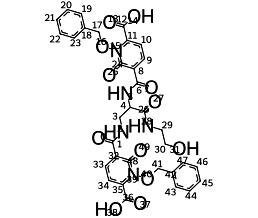 O=C(NCC(NC(=O)c1ccc(C(=O)O)n(OCc2ccccc2)c1=O)C(=O)NCCO)c1ccc(C(=O)O)n(OCc2ccccc2)c1=O